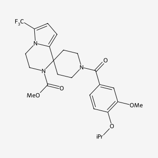 COC(=O)N1CCn2c(C(F)(F)F)ccc2C12CCN(C(=O)c1ccc(OC(C)C)c(OC)c1)CC2